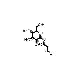 CC(=O)OC1C(CO)OC(SCCCO)C(OC(C)=O)C1O